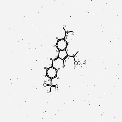 CC1=C(C(C)C(=O)O)c2cc(N(C)C)ccc2/C1=C/c1ccc(S(C)(=O)=O)cc1